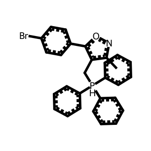 Cc1noc(-c2ccc(Br)cc2)c1C[PH](c1ccccc1)(c1ccccc1)c1ccccc1